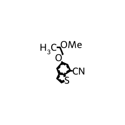 COC(C)COc1cc(C#N)c2sccc2c1